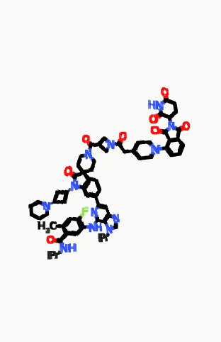 Cc1cc(F)c(Nc2nc(-c3ccc4c(c3)N([C@H]3C[C@@H](N5CCCCC5)C3)C(=O)C43CCN(C(=O)C4CN(C(=O)CC5CCN(c6cccc7c6C(=O)N(C6CCC(=O)NC6=O)C7=O)CC5)C4)CC3)cc3ncn(C(C)C)c23)cc1C(=O)NC(C)C